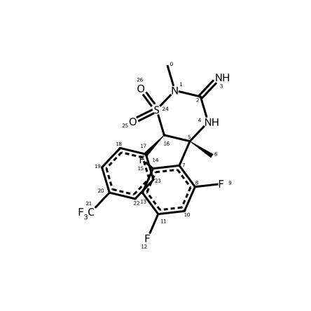 CN1C(=N)N[C@](C)(c2c(F)cc(F)cc2F)[C@@H](c2ccc(C(F)(F)F)cc2)S1(=O)=O